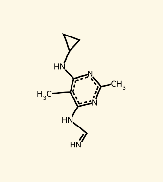 Cc1nc(NC=N)c(C)c(NC2CC2)n1